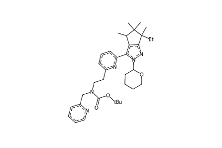 CCC1(C)c2nn(C3CCCCO3)c(-c3cccc(CCN(Cc4ccccn4)C(=O)OC(C)(C)C)n3)c2C(C)C1(C)C